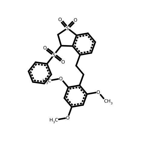 COc1cc(OC)c(CCc2cccc3c2C(S(=O)(=O)c2ccccc2)CS3(=O)=O)c(OC)c1